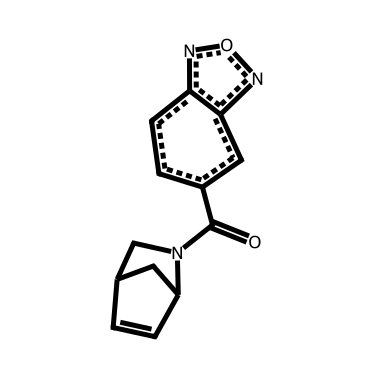 O=C(c1ccc2nonc2c1)N1CC2C=CC1C2